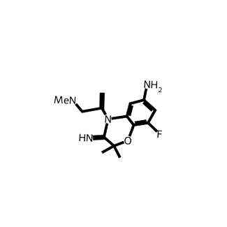 C=C(CNC)N1C(=N)C(C)(C)Oc2c(F)cc(N)cc21